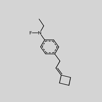 CCN(F)c1ccc(CC=C2CCC2)cc1